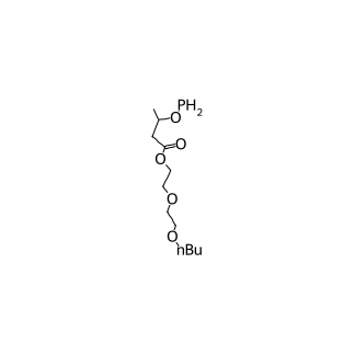 CCCCOCCOCCOC(=O)CC(C)OP